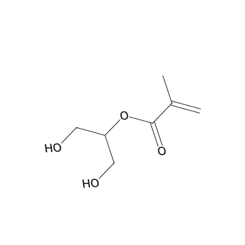 C=C(C)C(=O)OC(CO)CO